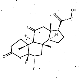 C[C@]12CCC(=O)C[C@H]1[C@@H](F)C[C@H]1[C@@H]3CC[C@H](C(=O)CO)[C@@]3(C)CC(=O)[C@@H]12